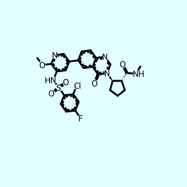 CNC(=O)[C@@H]1CCC[C@H]1n1cnc2ccc(-c3cnc(OC)c(NS(=O)(=O)c4ccc(F)cc4Cl)c3)cc2c1=O